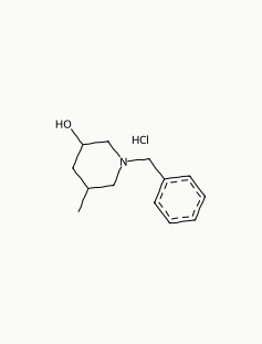 CC1CC(O)CN(Cc2ccccc2)C1.Cl